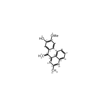 C=C(c1ccc(OC)c(O)c1)c1nc(C)nc2ccccc12